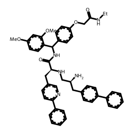 CCNC(=O)COc1ccc(C(NC(=O)[C@H](Cc2ccc(-c3ccccc3)nc2)NC[C@@H](N)Cc2ccc(-c3ccccc3)cc2)c2ccc(OC)cc2OC)cc1